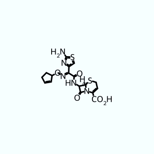 Nc1nc(C(=NOC2C=CCC2)C(=O)NC2C(=O)N3C(C(=O)O)=CCS[C@@H]23)cs1